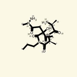 CCCN(C(=O)[C@H](C)NC(=O)[C@H](C)N)C(=O)C(O)(CC(=O)N(C)N)C(C)=O